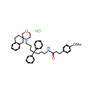 COc1ccc(CCC(=O)NCCCC(CCCN2CCOCC23CCc2ccccc2C3)(c2ccccc2)c2ccccc2)cc1.Cl